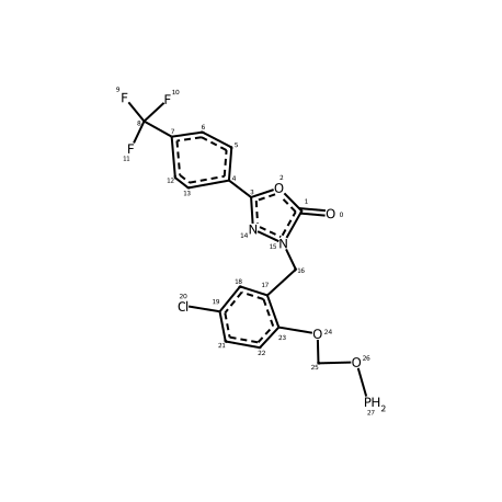 O=c1oc(-c2ccc(C(F)(F)F)cc2)nn1Cc1cc(Cl)ccc1OCOP